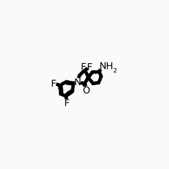 NC1CCCC2(C1)C(=O)N(c1cc(F)cc(F)c1)CC2(F)F